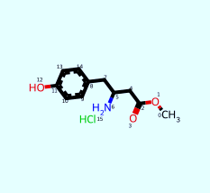 COC(=O)CC(N)Cc1ccc(O)cc1.Cl